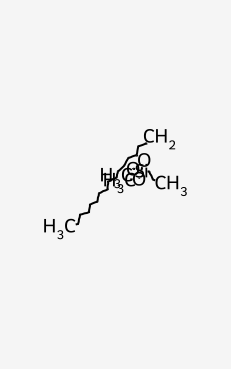 C=CCC(CCCCCCCCCCCCC)O[Si](CCC)(OC)OC